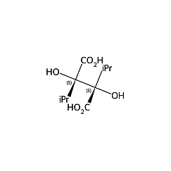 CC(C)[C@@](O)(C(=O)O)[C@](O)(C(=O)O)C(C)C